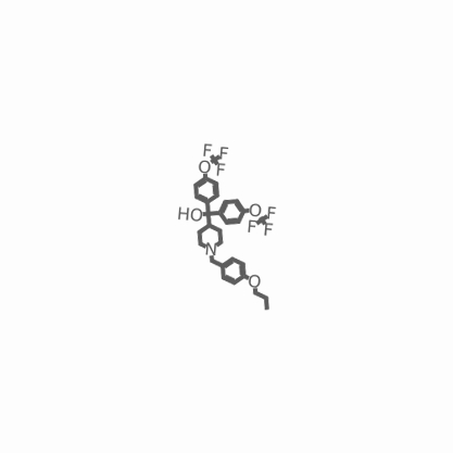 CCCOc1ccc(CN2CCC(C(O)(c3ccc(OC(F)(F)F)cc3)c3ccc(OC(F)(F)F)cc3)CC2)cc1